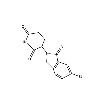 CCc1ccc2c(c1)C(=O)N(C1CCC(=O)NC1=O)C2